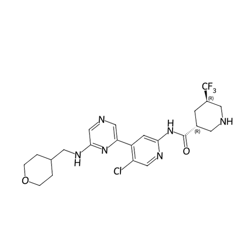 O=C(Nc1cc(-c2cncc(NCC3CCOCC3)n2)c(Cl)cn1)[C@H]1CNC[C@H](C(F)(F)F)C1